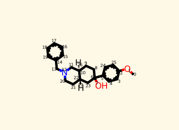 COc1ccc(C2(O)CC[C@@H]3CN(Cc4ccccc4)CC[C@H]3C2)cc1